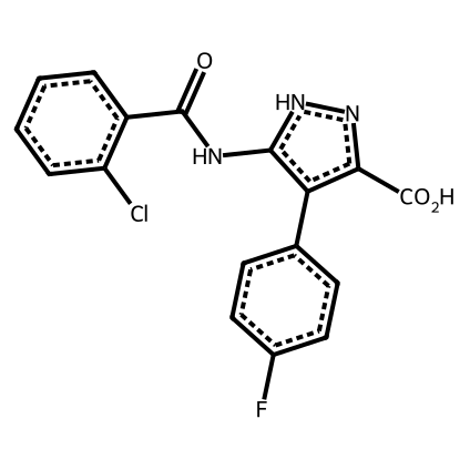 O=C(Nc1[nH]nc(C(=O)O)c1-c1ccc(F)cc1)c1ccccc1Cl